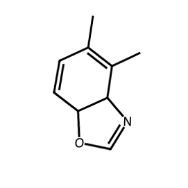 CC1=C(C)C2N=COC2C=C1